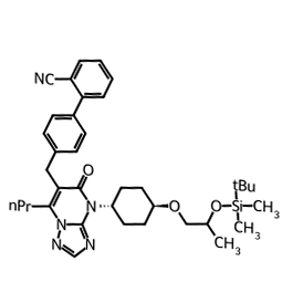 CCCc1c(Cc2ccc(-c3ccccc3C#N)cc2)c(=O)n([C@H]2CC[C@H](OCC(C)O[Si](C)(C)C(C)(C)C)CC2)c2ncnn12